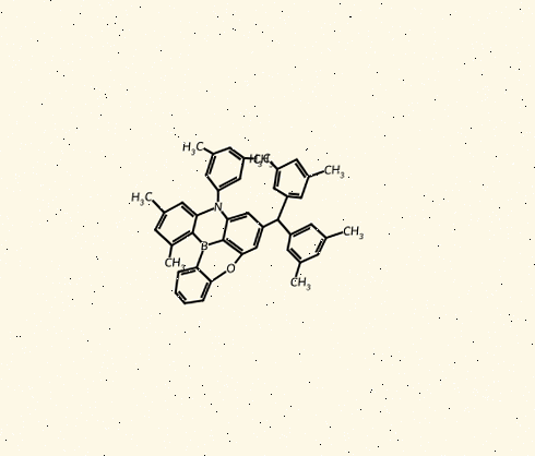 Cc1cc(C)cc(C(c2cc(C)cc(C)c2)c2cc3c4c(c2)N(c2cc(C)cc(C)c2)c2cc(C)cc(C)c2B4c2ccccc2O3)c1